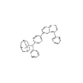 c1ccc(-c2cccc3ccc(-c4ccc(N(c5ccccc5)C56CC7CC(CC(C7)C5)C6)cc4)cc23)cc1